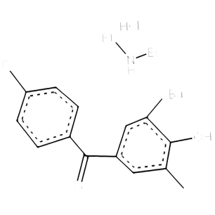 CCNCC.Cc1cc(C(=O)c2ccc(F)cc2)cc(C(C)(C)C)c1O.Cl